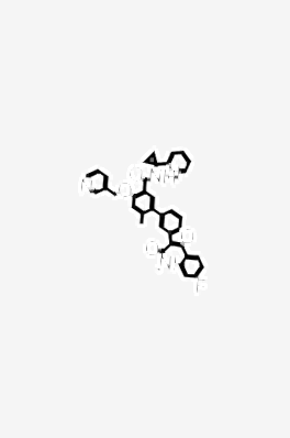 CNC(=O)c1c(-c2ccc(F)cc2)oc2ccc(-c3cc(C(=O)NC4(c5ccccn5)CC4)c(OCc4cccnc4)cc3C)cc12